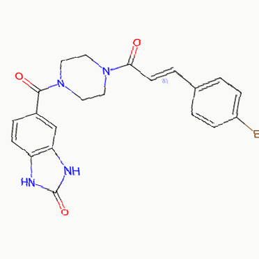 O=C(/C=C/c1ccc(Br)cc1)N1CCN(C(=O)c2ccc3[nH]c(=O)[nH]c3c2)CC1